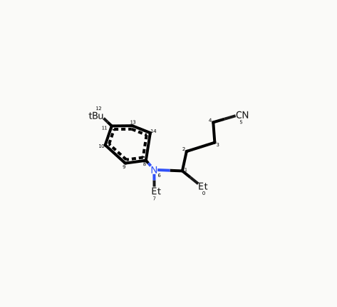 CCC(CCCC#N)N(CC)c1ccc(C(C)(C)C)cc1